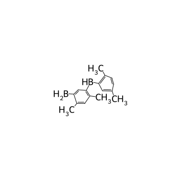 Bc1cc(Bc2cc(C)ccc2C)c(C)cc1C